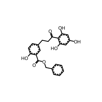 O=C(OCc1ccccc1)c1cc(CCC(=O)c2c(O)cc(O)cc2O)ccc1O